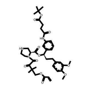 C=CC(=O)OCC(C)(C)C(=O)C(=O)N1CCNC[C@H]1C(=O)O[C@H](CCc1ccc(OC)c(OC)c1)c1cccc(NC(=O)CCC(=O)OC(C)(C)C)c1